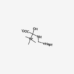 CCCCCCCCNC(O)(C(=O)[O-])[N+](C)(C)C